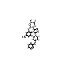 CC(OC1Cc2cc(Cl)ccc2-n2c(nnc2[C@H]2CC[C@H](Oc3ccccn3)CC2)C1)N(C)C